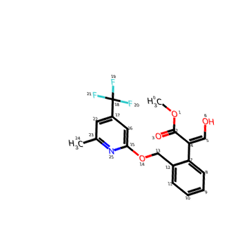 COC(=O)C(=CO)c1ccccc1COc1cc(C(F)(F)F)cc(C)n1